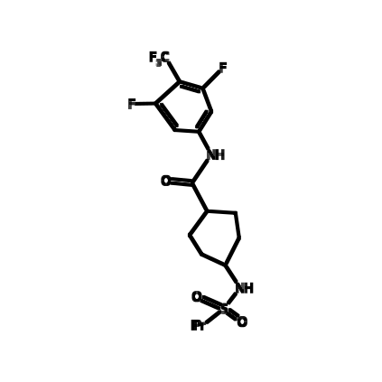 CC(C)S(=O)(=O)NC1CCC(C(=O)Nc2cc(F)c(C(F)(F)F)c(F)c2)CC1